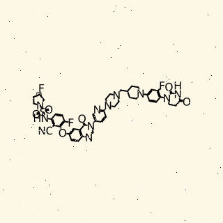 N#Cc1c(NS(=O)(=O)N2CC[C@@H](F)C2)ccc(F)c1Oc1ccc2ncn(-c3ccc(N4CCN(CC5CCN(c6ccc(N7CCC(=O)NC7=O)c(F)c6)CC5)CC4)nc3)c(=O)c2c1